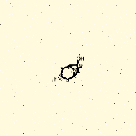 CN1C2CC(O)C1C[C@@H](I)C2